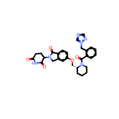 O=C1CCC(N2Cc3cc(OC[C@H]4CCCCN4C(=O)c4ccccc4Cn4cncn4)ccc3C2=O)C(=O)N1